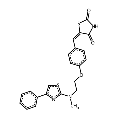 CN(CCOc1ccc(C=C2SC(=O)NC2=O)cc1)c1nc(-c2ccccc2)cs1